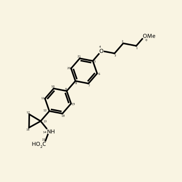 COCCCOc1ccc(-c2ccc(C3(NC(=O)O)CC3)cc2)cc1